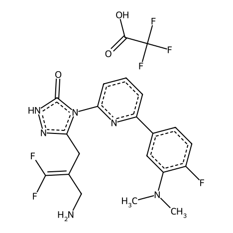 CN(C)c1cc(-c2cccc(-n3c(CC(CN)=C(F)F)n[nH]c3=O)n2)ccc1F.O=C(O)C(F)(F)F